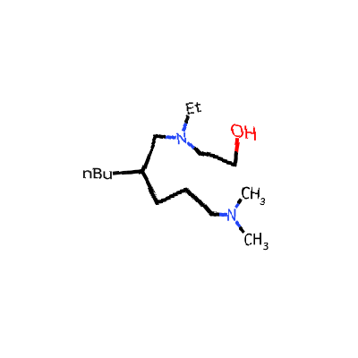 CCCCC(CCCN(C)C)CN(CC)CCO